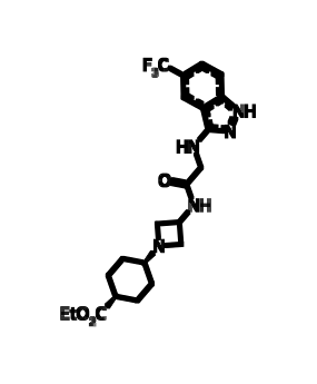 CCOC(=O)[C@H]1CC[C@@H](N2CC(NC(=O)CNc3n[nH]c4ccc(C(F)(F)F)cc34)C2)CC1